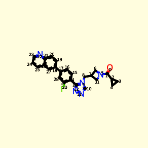 O=C(C1CC1)N1CC(Cn2cnnc2-c2ccc(-c3ccc4ncccc4c3)cc2F)C1